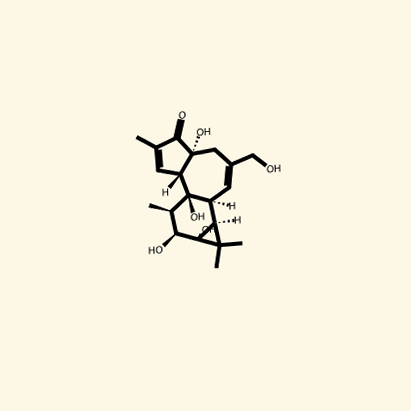 CC1=C[C@H]2[C@@]3(O)[C@H](C)[C@H](O)[C@]4(O)[C@@H]([C@@H]3C=C(CO)C[C@]2(O)C1=O)C4(C)C